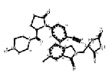 CCN1CCN(C(=O)C2CCC(=O)N2c2ccc(C#C[C@]3(CN4Cc5ccc(C)cc5C4=O)NC(=O)NC3=O)cc2)CC1